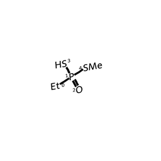 CCP(=O)(S)SC